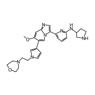 COc1cc2ncc(-c3cccc(NC4CCNC4)n3)n2cc1-c1ccn(CCN2CCOCC2)c1